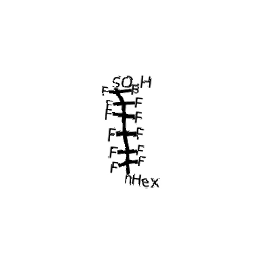 CCCCCCC(F)(F)C(F)(F)C(F)(F)C(F)(F)C(F)(F)C(F)(F)S(=O)(=O)O